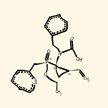 C=C[C@@H]1C[C@]1(N(Cc1ccccc1)C(=O)O)[P@](=O)(Cc1ccccn1)OCC